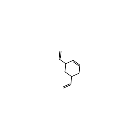 C=CC1C=CCC(C=C)C1